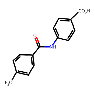 O=C(O)c1ccc(NC(=O)c2ccc(C(F)(F)F)cc2)cc1